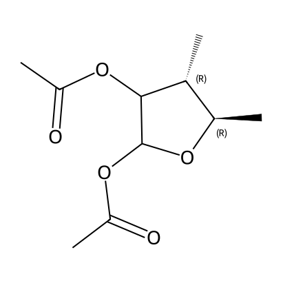 CC(=O)OC1O[C@H](C)[C@@H](C)C1OC(C)=O